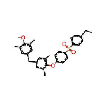 CCc1ccc(S(=O)(=O)c2ccc(Oc3c(C)cc(Cc4cc(C)c(OC)c(C)c4)cc3C)cc2)cc1